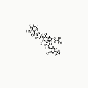 CCc1c(N2CCN(C(=O)c3ncnc(C)c3O)CC2)c(=O)n2nc(/C=C/C(=O)O)nc2n1CC(=O)Nc1ccc(C(F)(F)F)cc1Cl